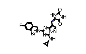 O=C1NC(=O)/C(=C\c2cnn3c(NC4CC4)nc(NCc4ccc(F)cc4Br)nc23)N1